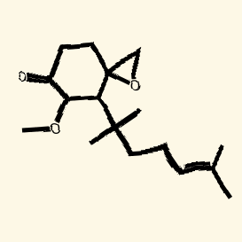 COC1C(=O)CCC2(CO2)C1C(C)(C)CCC=C(C)C